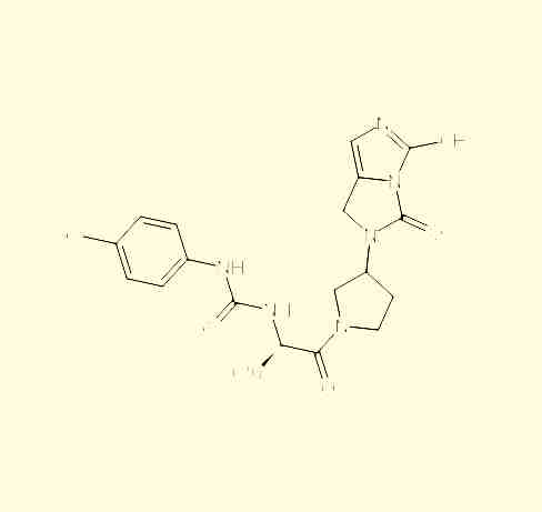 Cc1ncc2n1C(=O)N(C1CCN(C(=O)[C@H](NC(=O)Nc3ccc(Cl)cc3)C(C)(C)C)C1)C2